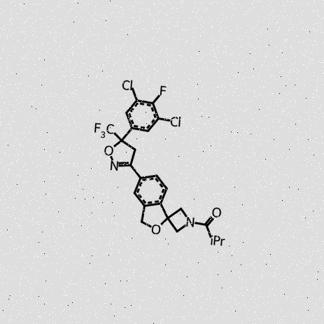 CC(C)C(=O)N1CC2(C1)OCc1cc(C3=NOC(c4cc(Cl)c(F)c(Cl)c4)(C(F)(F)F)C3)ccc12